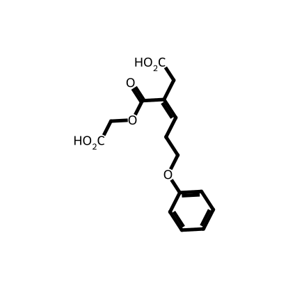 O=C(O)COC(=O)C(=CCCOc1ccccc1)CC(=O)O